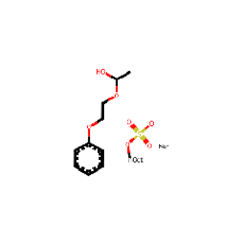 CC(O)OCCOc1ccccc1.CCCCCCCCOS(=O)(=O)[O-].[Na+]